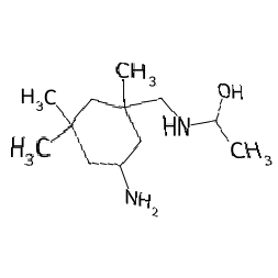 CC(O)NCC1(C)CC(N)CC(C)(C)C1